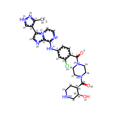 O=C(c1ccc(Nc2nccn3c(-c4c[nH]nc4C(F)(F)F)cnc23)cc1Cl)N1CCN(C(=O)[C@@H]2CCNC[C@@H]2O)CC1